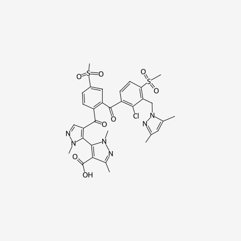 Cc1cc(C)n(Cc2c(S(C)(=O)=O)ccc(C(=O)c3cc(S(C)(=O)=O)ccc3C(=O)c3cnn(C)c3-c3c(C(=O)O)c(C)nn3C)c2Cl)n1